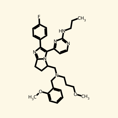 CCCNc1nccc(-c2c(-c3ccc(F)cc3)nc3n2C(CN(CCCOC)Cc2ccccc2OC)CC3)n1